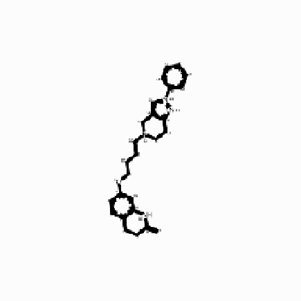 C=C1CCc2ccc(OCCCCN3CCc4nn(-c5ccccc5)cc4C3)cc2N1